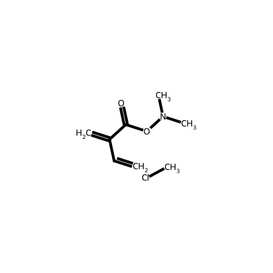 C=CC(=C)C(=O)ON(C)C.CCl